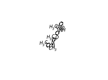 COc1ccccc1S(=O)(=O)Nc1cccc(O[C@@H]2CN(C(=O)c3cc(C)ccc3C)C[C@H]2C)c1